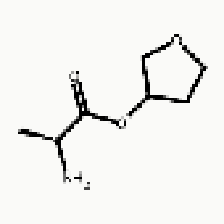 C[C@H](N)C(=O)OC1CCOC1